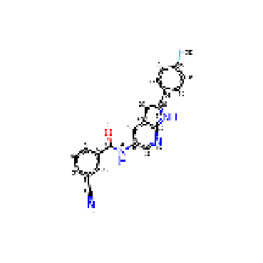 N#Cc1cccc(C(=O)Nc2cnc3[nH]c(-c4ccc(F)cc4)cc3c2)c1